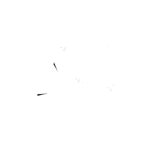 C[C@@H]1CCN(C(=O)[C@@H](NC=O)C(C)(C)C)[C@@H]1C(N)=O